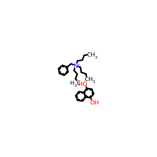 CCCC[N+](CCCC)(CCCC)Cc1ccccc1.Oc1ccc(O)c2ccccc12